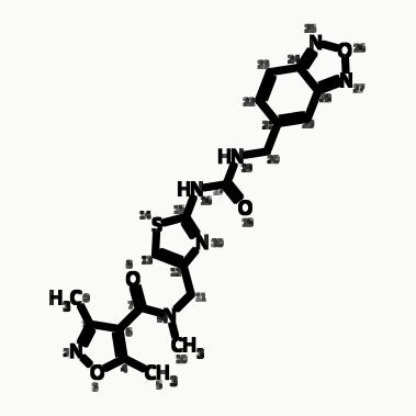 Cc1noc(C)c1C(=O)N(C)Cc1csc(NC(=O)NCc2ccc3nonc3c2)n1